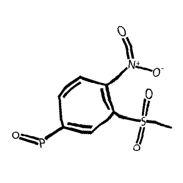 CS(=O)(=O)c1cc(P=O)ccc1[N+](=O)[O-]